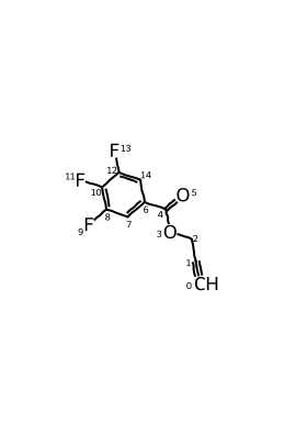 C#CCOC(=O)c1cc(F)c(F)c(F)c1